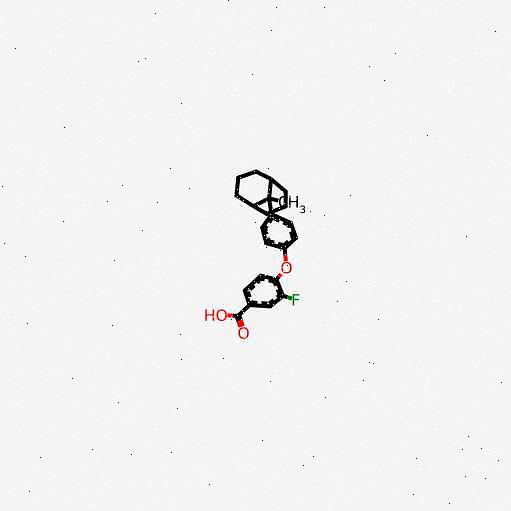 CC1(c2ccc(Oc3ccc(C(=O)O)cc3F)cc2)C2CCCC1CCC2